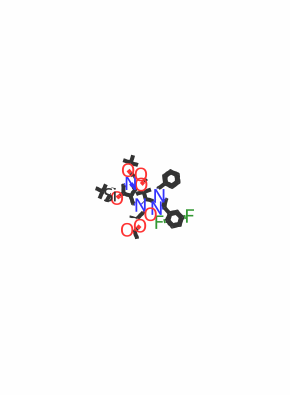 COC(C)(C)[C@H](c1nc(-c2cc(F)ccc2F)cn1Cc1ccccc1)N(CC1CN(C(=O)OC(C)(C)C)CC1O[Si](C)(C)C(C)(C)C)C(=O)[C@H](C)OC(C)=O